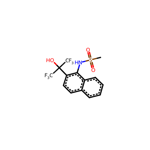 CS(=O)(=O)Nc1c(C(O)(C(F)(F)F)C(F)(F)F)ccc2ccccc12